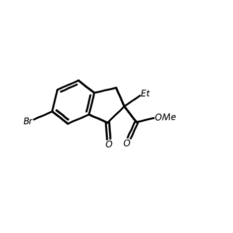 CCC1(C(=O)OC)Cc2ccc(Br)cc2C1=O